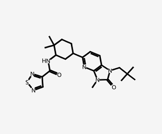 Cn1c(=O)n(CC(C)(C)C)c2ccc(C3CCC(C)(C)C(NC(=O)c4cnsn4)C3)nc21